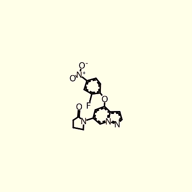 O=C1CCCN1c1cc(Oc2ccc([N+](=O)[O-])cc2F)c2ccnn2c1